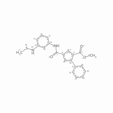 COC(=O)c1sc(C(=O)Nc2cccc(NSC)c2)cc1-c1ccccc1